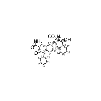 NC(=O)C[S+]([O-])C(c1ccccc1)c1ccccc1.O=C(O)c1ccc2ccccc2c1O